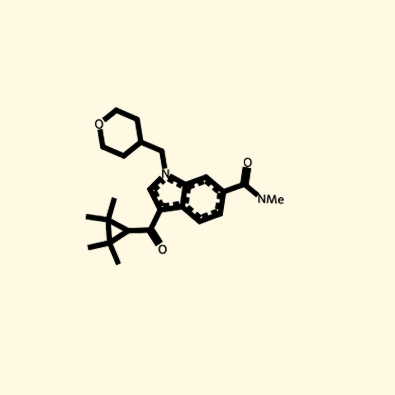 CNC(=O)c1ccc2c(C(=O)C3C(C)(C)C3(C)C)cn(CC3CCOCC3)c2c1